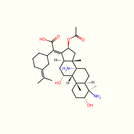 CC(=O)O[C@H]1C[C@@]2(C)[C@@H](C[C@@H](O)[C@H]3[C@@]4(C)CC[C@@H](O)[C@](C)(N)[C@@H]4CC[C@@]32N)/C1=C(/C(=O)O)C1CCCC(=C(C)C)C1